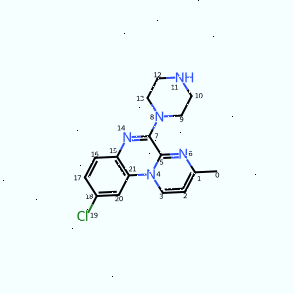 CC1=C=CN2C(=N1)C(N1CCNCC1)=Nc1ccc(Cl)cc12